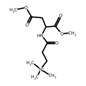 COC(=O)CC(NC(=O)CC[N+](C)(C)C)C(=O)OC